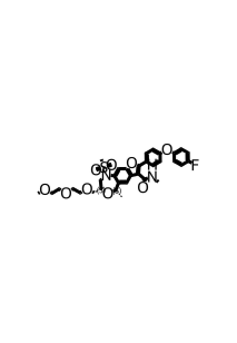 CNC(=O)c1c(-c2ccc(Oc3ccc(F)cc3)cc2)oc2cc3c(cc12)[C@H](C)O[C@H](COCCOCCOC)CN3S(C)(=O)=O